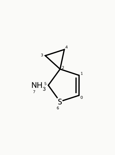 C1=CC2(CC2)CS1.N